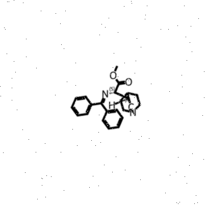 COC(=O)[C@@H](N=C(c1ccccc1)c1ccccc1)[C@H]1CN2CCC1CC2